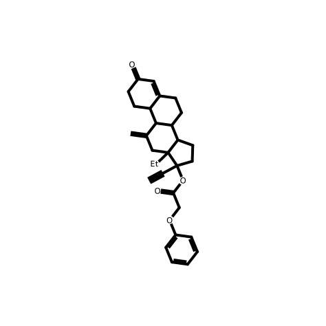 C#CC1(OC(=O)COc2ccccc2)CCC2C3CCC4=CC(=O)CCC4C3C(=C)CC21CC